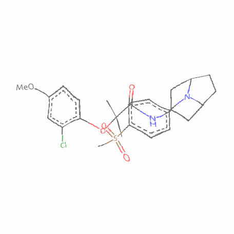 COc1ccc(OC(C)(C)C(=O)NC2CC3CCC(C2)N3c2ccc(S(C)(=O)=O)cc2)c(Cl)c1